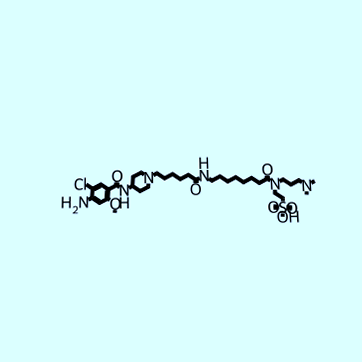 COc1cc(N)c(Cl)cc1C(=O)NC1CCN(CCCCCC(=O)NCCCCCCCC(=O)N(CCCN(C)C)CCS(=O)(=O)O)CC1